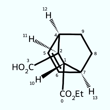 CCOC(=O)[C@@H]1[C@@H](C(=O)O)[C@H]2C=C[C@@H]1CC2